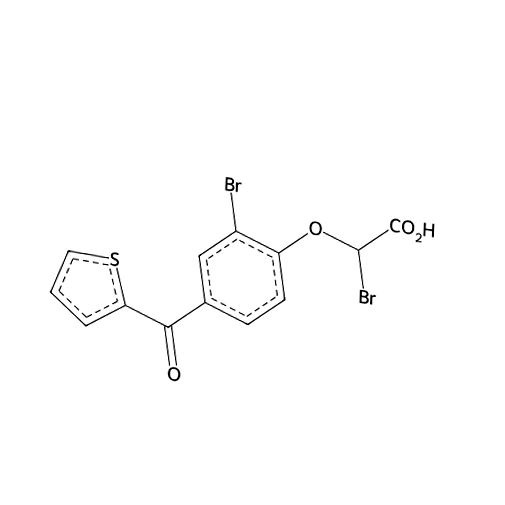 O=C(c1ccc(OC(Br)C(=O)O)c(Br)c1)c1cccs1